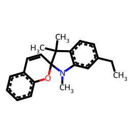 CCc1ccc2c(c1)N(C)C1(C=Cc3ccccc3O1)C2(C)C